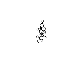 COC(=O)C(=O)[C@@]12CC[C@@]3(OC(C)O1)[C@@H]1CCC4=CC(=O)CC[C@]4(C)[C@H]1C(=O)C[C@]23C